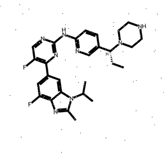 CC[C@H](c1ccc(Nc2ncc(F)c(-c3cc(F)c4nc(C)n(C(C)C)c4c3)n2)nc1)N1CCNCC1